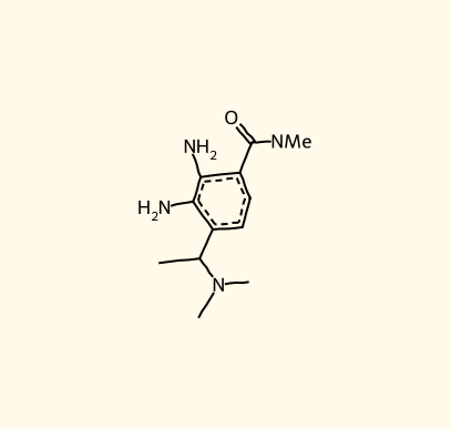 CNC(=O)c1ccc(C(C)N(C)C)c(N)c1N